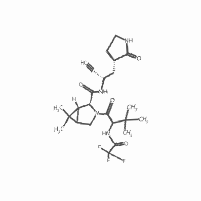 C#C[C@H](C[C@@H]1CCNC1=O)NC(=O)[C@@H]1[C@@H]2C(CN1C(=O)C(NC(=O)C(F)(F)F)C(C)(C)C)C2(C)C